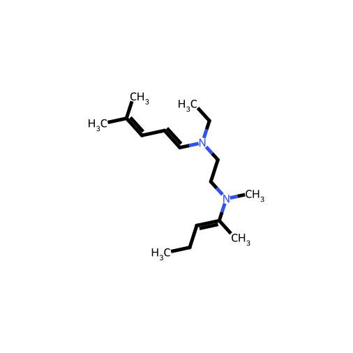 CC/C=C(\C)N(C)CCN(/C=C/C=C(C)C)CC